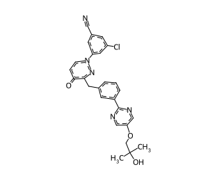 CC(C)(O)COc1cnc(-c2cccc(Cc3nn(-c4cc(Cl)cc(C#N)c4)ccc3=O)c2)nc1